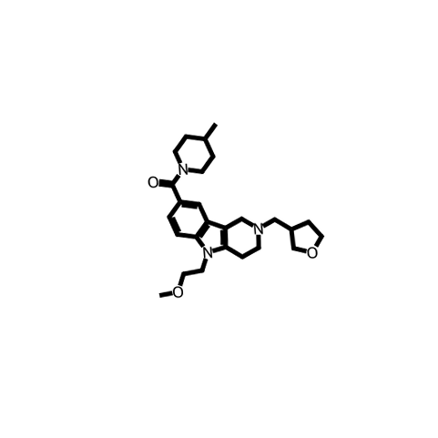 COCCn1c2c(c3cc(C(=O)N4CCC(C)CC4)ccc31)CN(CC1CCOC1)CC2